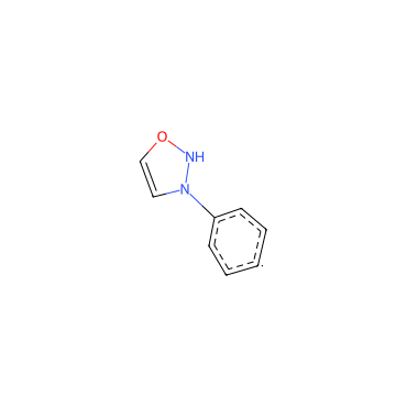 [c]1ccc(N2C=CON2)cc1